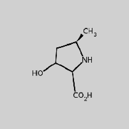 C[C@@H]1CC(O)C(C(=O)O)N1